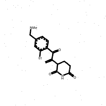 C=C(C(=O)c1ccc(CNC)cc1CC)C1CCC(=O)NC1=O